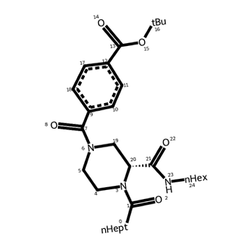 CCCCCCCC(=O)N1CCN(C(=O)c2ccc(C(=O)OC(C)(C)C)cc2)C[C@@H]1C(=O)NCCCCCC